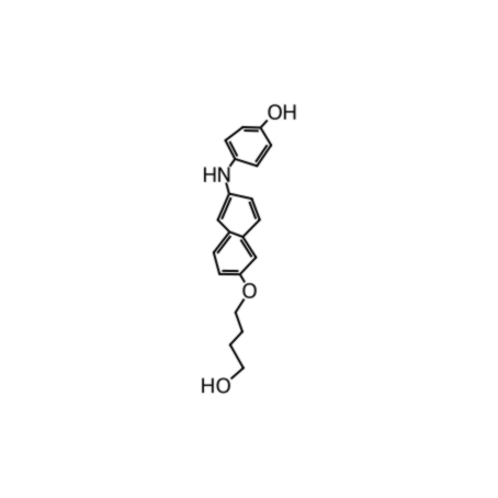 OCCCCOc1ccc2cc(Nc3ccc(O)cc3)ccc2c1